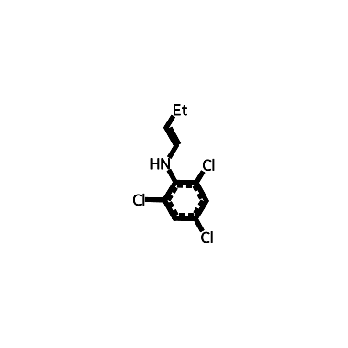 [CH2]CC=CNc1c(Cl)cc(Cl)cc1Cl